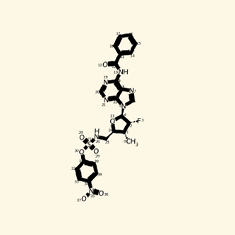 C[C@H]1[C@@H](F)[C@H](n2cnc3c(NC(=O)c4ccccc4)ncnc32)O[C@@H]1CNS(=O)(=O)Oc1ccc([N+](=O)[O-])cc1